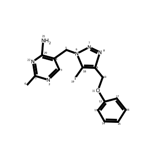 Cc1ncc(Cn2nnc(COc3ccccc3)c2I)c(N)n1